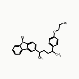 CCn1c2ccccc2c2cc(C(C)CCC(C)c3ccc(OCCO)cc3)ccc21